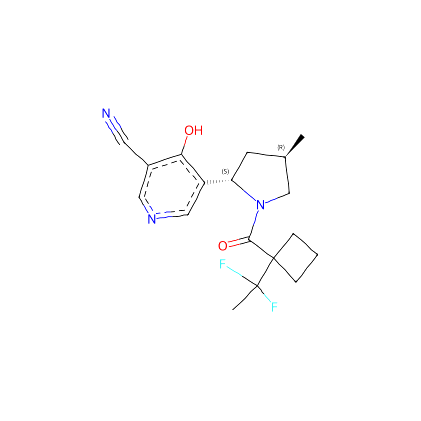 C[C@@H]1C[C@@H](c2cncc(C#N)c2O)N(C(=O)C2(C(C)(F)F)CCC2)C1